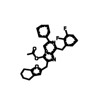 CC(=O)Oc1c(Cc2cc3c(o2)CCCC3)nc2c(Cc3cccc(F)c3F)nc(-c3ccccc3)cn12